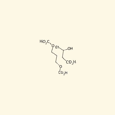 CCC(O)CC(=O)O.O=C(O)OCCCOC(=O)O